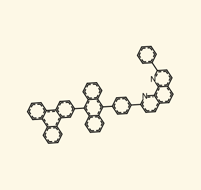 c1ccc(-c2ccc3ccc4ccc(-c5ccc(-c6c7ccccc7c(-c7ccc8c9ccccc9c9ccccc9c8c7)c7ccccc67)cc5)nc4c3n2)cc1